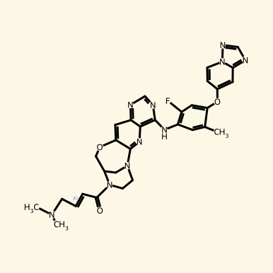 Cc1cc(Nc2ncnc3cc4c(nc23)N2CCN(C(=O)/C=C/CN(C)C)C(CO4)C2)c(F)cc1Oc1ccn2ncnc2c1